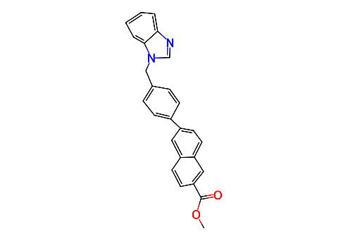 COC(=O)c1ccc2cc(-c3ccc(Cn4cnc5ccccc54)cc3)ccc2c1